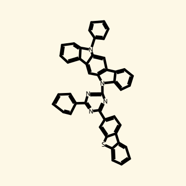 c1ccc(-c2nc(-c3ccc4c(c3)sc3ccccc34)nc(-n3c4ccccc4c4cc5c(cc43)c3ccccc3n5-c3ccccc3)n2)cc1